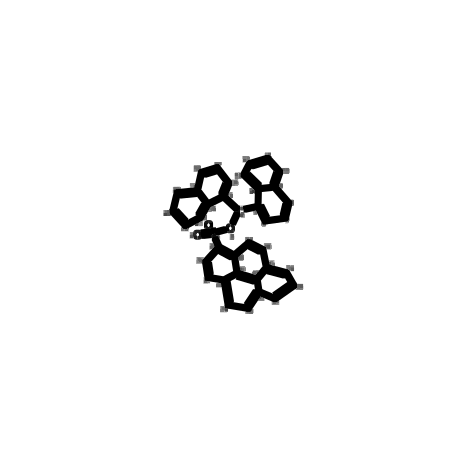 O=S(=O)(O[I+](c1cccc2ccccc12)c1cccc2ccccc12)c1ccc2ccc3cccc4ccc1c2c34